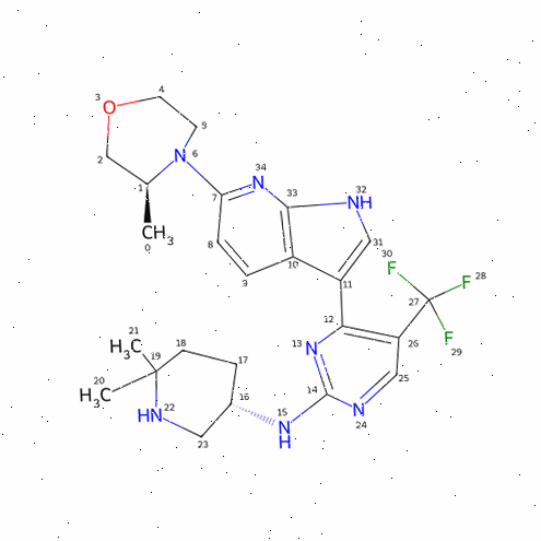 C[C@H]1COCCN1c1ccc2c(-c3nc(N[C@H]4CCC(C)(C)NC4)ncc3C(F)(F)F)c[nH]c2n1